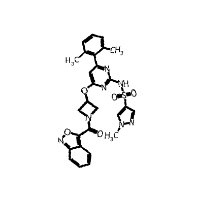 Cc1cccc(C)c1-c1cc(OC2CN(C(=O)c3onc4ccccc34)C2)nc(NS(=O)(=O)c2cnn(C)c2)n1